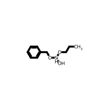 CCCO[SiH](O)OCc1ccccc1